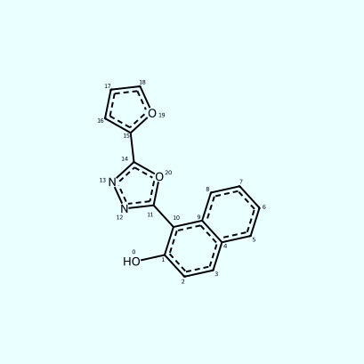 Oc1ccc2ccccc2c1-c1nnc(-c2ccco2)o1